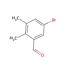 Cc1cc(Br)cc(C=O)c1C